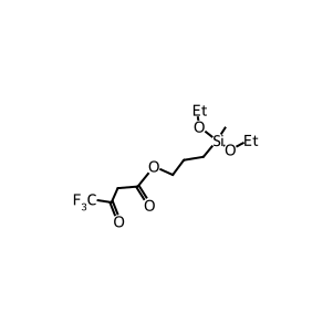 CCO[Si](C)(CCCOC(=O)CC(=O)C(F)(F)F)OCC